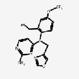 CC(C)Cc1cc(OC(F)(F)F)ccc1N(Cc1cocn1)c1ccnc(N)n1